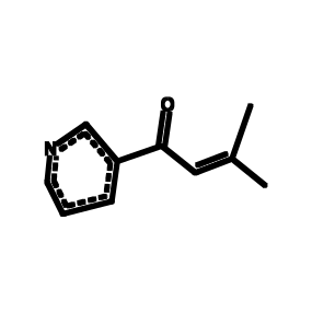 CC(C)=CC(=O)c1cccnc1